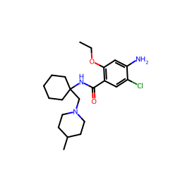 CCOc1cc(N)c(Cl)cc1C(=O)NC1(CN2CCC(C)CC2)CCCCC1